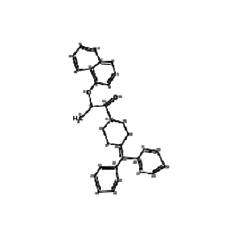 CC(Oc1cccc2ncccc12)C(=O)N1CCC(=C(c2ccccc2)c2ccccc2)CC1